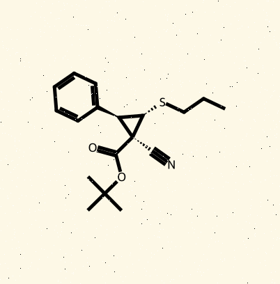 CCCS[C@H]1[C@H](c2ccccc2)[C@]1(C#N)C(=O)OC(C)(C)C